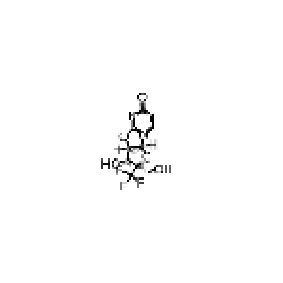 O=c1ccn2c(n1)O[C@@H]1[C@H]2O[C@@](CO)(C(F)(F)F)[C@H]1O